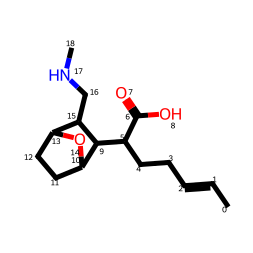 C/C=C/CCC(C(=O)O)C1C2CCC(O2)C1CNC